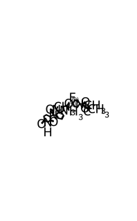 Cn1c(=O)n(C2CCC(=O)NC2=O)c2cccc(N3CC(O[C@H]4CCN(C(=O)OC(C)(C)C)C[C@H]4F)C3)c21